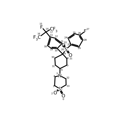 O=S1(=O)CCN(C2CCC(c3ccc(C(F)(C(F)(F)F)C(F)(F)F)cc3)(S(=O)(=O)c3ccc(F)cc3)CC2)CC1